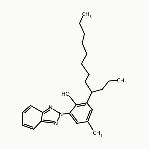 CCCCCCCCC(CCC)c1cc(C)cc(-n2nc3ccccc3n2)c1O